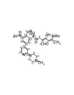 CCCC(/C=C(/C)NC)=C(/C=O)CNC(=O)c1cc(-c2ccnc(N3CCN(C)CC3)c2)cc(NC(C)C)c1C=N